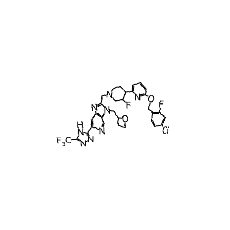 Fc1cc(Cl)ccc1COc1cccc(C2CCN(Cc3nc4cc(-c5nnc(C(F)(F)F)[nH]5)ncc4n3CC3CCO3)CC2F)n1